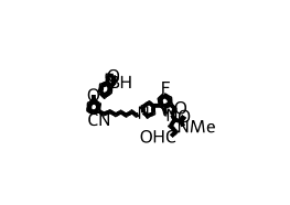 CNC(=O)C(CCC=O)N1Cc2c(cc(F)cc2C2CCN(CCCCCCCc3cc(Oc4ccc5c(c4)COB5)ccc3C#N)CC2)C1=O